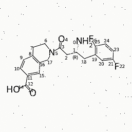 N[C@@H](CC(=O)N1CCc2ccc(C(=O)O)cc2C1)Cc1cc(F)ccc1F